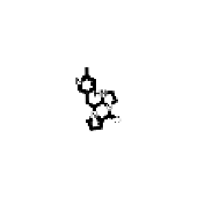 Cc1ccc(CC2C3NCCN3C(=O)c3cccn32)cn1